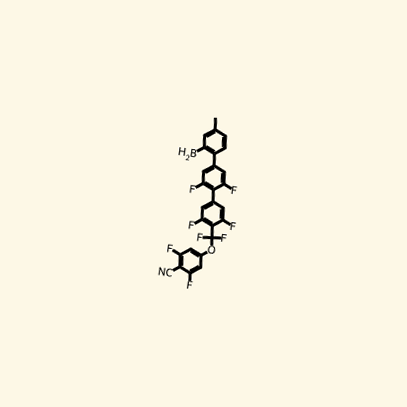 Bc1cc(C)ccc1-c1cc(F)c(-c2cc(F)c(C(F)(F)Oc3cc(F)c(C#N)c(F)c3)c(F)c2)c(F)c1